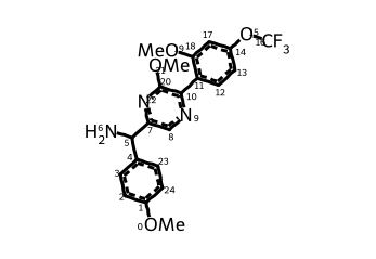 COc1ccc(C(N)c2cnc(-c3ccc(OC(F)(F)F)cc3OC)c(OC)n2)cc1